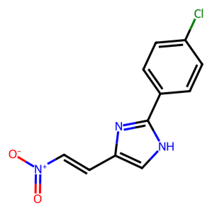 O=[N+]([O-])C=Cc1c[nH]c(-c2ccc(Cl)cc2)n1